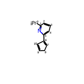 CC(C)c1cccc(C2=CCC=C2)n1